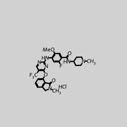 COc1cc(C(=O)NC2CCN(C)CC2)c(F)cc1Nc1ncc(C(F)(F)F)c(Oc2cccc3c2C(=O)N(C)C3)n1.Cl